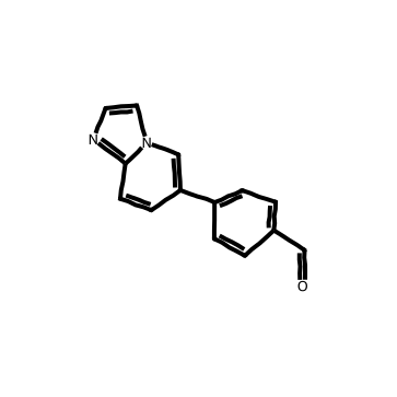 O=Cc1ccc(-c2ccc3nccn3c2)cc1